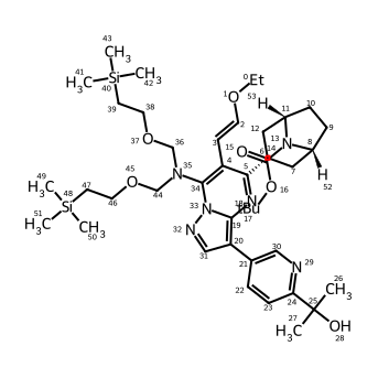 CCO/C=C/c1c([C@H]2C[C@H]3CC[C@@H](C2)N3C(=O)OC(C)(C)C)nc2c(-c3ccc(C(C)(C)O)nc3)cnn2c1N(COCC[Si](C)(C)C)COCC[Si](C)(C)C